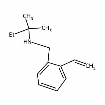 C=Cc1ccccc1CNC(C)(C)CC